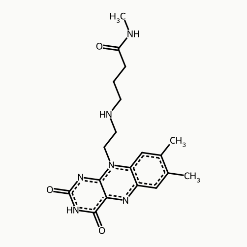 CNC(=O)CCCNCCn1c2nc(=O)[nH]c(=O)c-2nc2cc(C)c(C)cc21